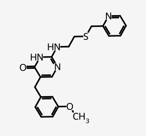 COc1cccc(Cc2cnc(NCCSCc3ccccn3)[nH]c2=O)c1